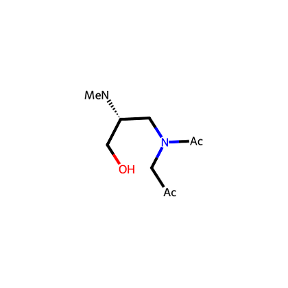 CN[C@@H](CO)CN(CC(C)=O)C(C)=O